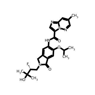 Cc1cnn2c(C(=O)Nc3cc4c(cc3OC(C)C)C(=O)N(C[C@@H](F)C(C)(C)O)C4)cnc2c1